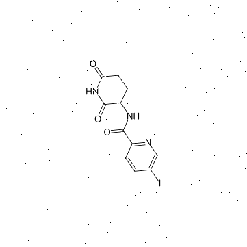 O=C1CCC(NC(=O)c2ccc(I)cn2)C(=O)N1